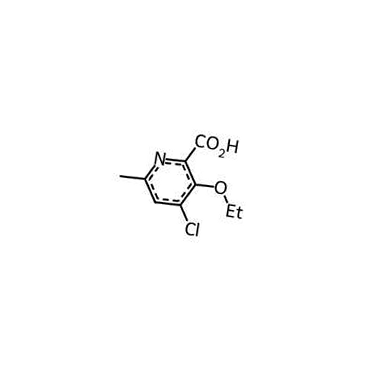 CCOc1c(Cl)cc(C)nc1C(=O)O